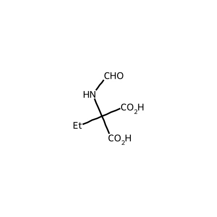 CCC(NC=O)(C(=O)O)C(=O)O